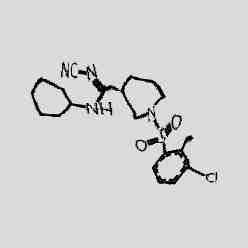 Cc1c(Cl)cccc1S(=O)(=O)N1CCC[C@H](/C(=N/C#N)NC2CCCCC2)C1